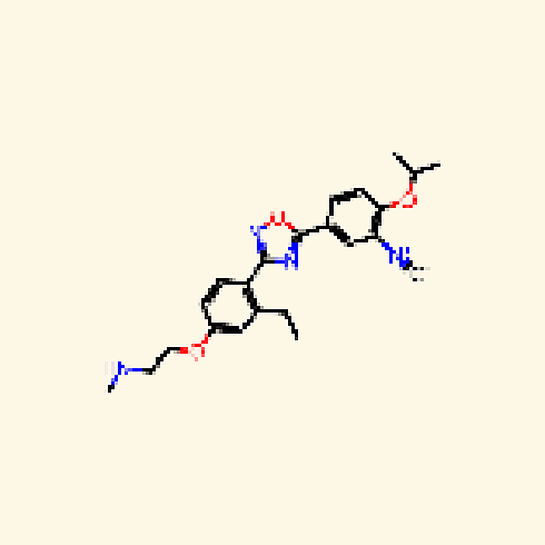 [C-]#[N+]c1cc(-c2nc(-c3ccc(OCCNC)cc3CC)no2)ccc1OC(C)C